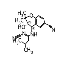 CC(C)CC(=NC#N)N[C@@H]1c2cc(C#N)ccc2OC(C)(C)[C@H]1O